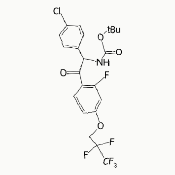 CC(C)(C)OC(=O)NC(C(=O)c1ccc(OCC(F)(F)C(F)(F)F)cc1F)c1ccc(Cl)cc1